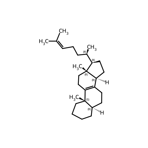 CC(C)=CCC[C@@H](C)[C@H]1CC[C@H]2C3=C(CC[C@]12C)[C@@]1(C)CCCC[C@@H]1CC3